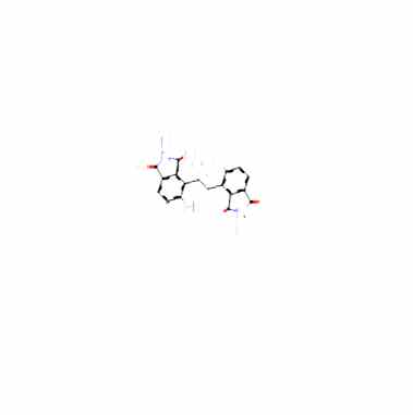 O=C(O)c1ccc2c(c1CCc1c(C(=O)O)ccc3c1C(=O)NC3=O)C(=O)NC2=O